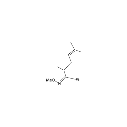 CCC(=NOC)C(C)CC=C(C)C